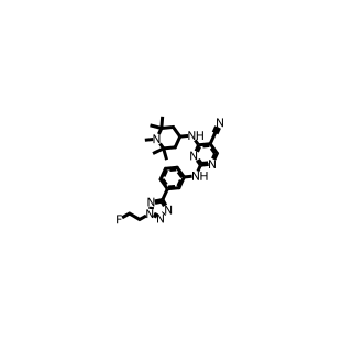 CN1C(C)(C)CC(Nc2nc(Nc3cccc(-c4nnn(CCF)n4)c3)ncc2C#N)CC1(C)C